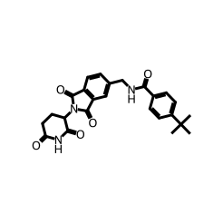 CC(C)(C)c1ccc(C(=O)NCc2ccc3c(c2)C(=O)N(C2CCC(=O)NC2=O)C3=O)cc1